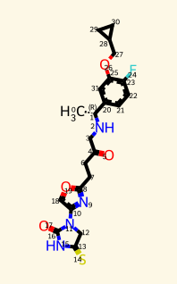 C[C@@H](NCC(=O)CCc1nc(N2CC(=S)NC2=O)co1)c1ccc(F)c(OCC2CC2)c1